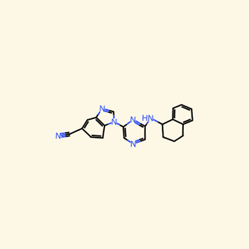 N#Cc1ccc2c(c1)ncn2-c1cncc(NC2CCCc3ccccc32)n1